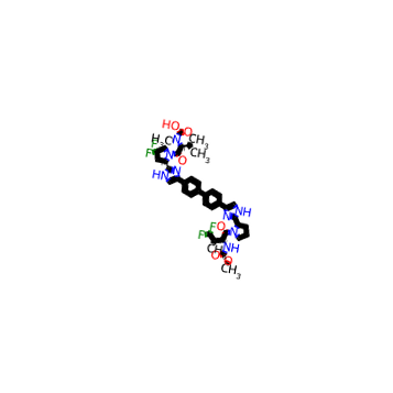 COC(=O)N[C@H](C(=O)N1CCCC1c1nc(-c2ccc(-c3ccc(-c4c[nH]c([C@@H]5CC(F)(F)CN5C(=O)[C@H](C(C)C)N(C)C(=O)O)n4)cc3)cc2)c[nH]1)C(C)C(F)F